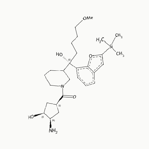 COCCCC[C@@](O)(c1cccc2cc([Si](C)(C)C)oc12)C1CCCN(C(=O)[C@H]2C[C@@H](N)[C@@H](O)C2)C1